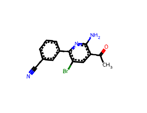 CC(=O)c1cc(Br)c(-c2cccc(C#N)c2)nc1N